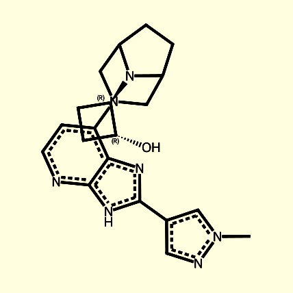 Cn1cc(-c2nc3c(N4CC5CCC(C4)N5[C@@H]4CC[C@H]4O)ccnc3[nH]2)cn1